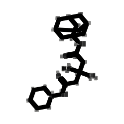 CC(C)(CC(=O)NN1CCCCC1)CC(=O)NC12CC3CC(CC(C3)C1)C2